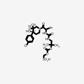 CC(C)C(NC(=O)NCC(C)(C)OC(=O)OCS(=O)(=O)O)C(=O)N1CC[C@](O)(c2ccc(Cl)cc2)C(C)(C)C1